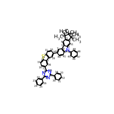 CC1(C)c2cc3c4cc(-c5ccc6sc7ccc(-c8nc(-c9ccccc9)nc(-c9ccccc9)n8)cc7c6c5)ccc4n(-c4ccccc4)c3cc2C(C)(C)C1(C)C